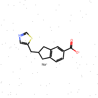 O=C([O-])c1ccc2c(c1)CC(Cc1cncs1)C2.[Na+]